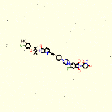 CC1(C)[C@H](Oc2ccc(C#N)c(Br)c2)C(C)(C)[C@H]1N1Cc2nc(C#C[C@H]3CC[C@H](N4CCN(c5cc6c(cc5F)C(=O)N(C5CCC(=O)NC5=O)C6=O)CC4)CC3)ccc2C1=O